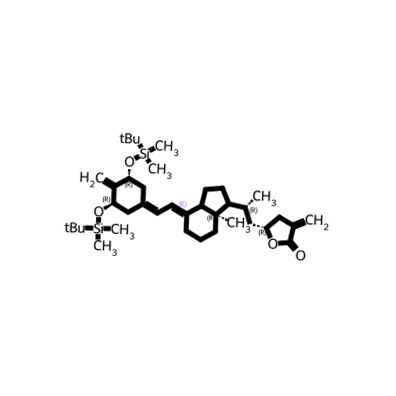 C=C1C[C@@H](C[C@@H](C)C2CCC3/C(=C/C=C4C[C@@H](O[Si](C)(C)C(C)(C)C)C(=C)[C@H](O[Si](C)(C)C(C)(C)C)C4)CCC[C@@]32C)OC1=O